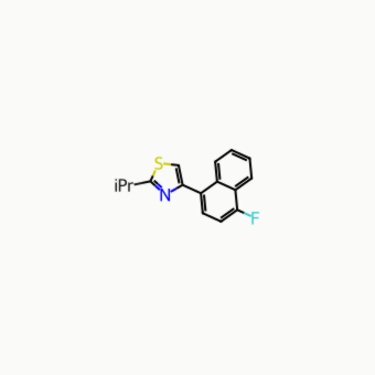 CC(C)c1nc(-c2ccc(F)c3ccccc23)cs1